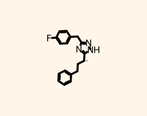 Fc1ccc(Cc2n[nH]c([CH]CCc3ccccc3)n2)cc1